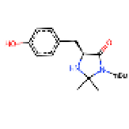 CCCCN1C(=O)[C@H](Cc2ccc(O)cc2)NC1(C)C